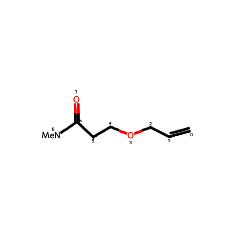 C=CCOCCC(=O)NC